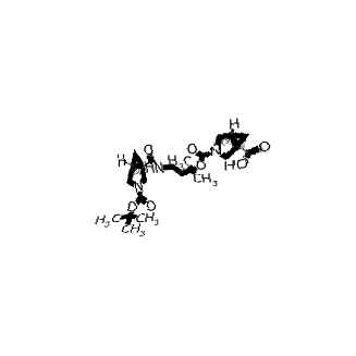 CC(C)(C)OC(=O)N1C[C@H]2C[C@@]2(C(=O)NCCC(C)(C)OC(=O)N2C[C@H]3C[C@@]3(C(=O)O)C2)C1